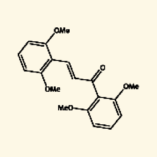 COc1cccc(OC)c1/C=C/C(=O)c1c(OC)cccc1OC